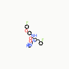 O=C(Nc1ccc(Oc2ccc(F)cc2)cc1)C1CC(Cc2ccccc2F)CN1C(=O)Cn1ccnn1